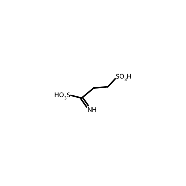 N=C(CCS(=O)(=O)O)S(=O)(=O)O